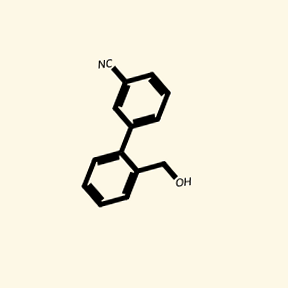 N#Cc1cccc(-c2ccccc2CO)c1